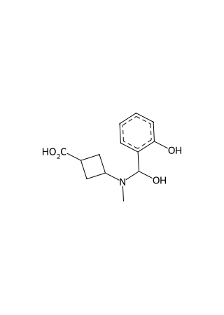 CN(C1CC(C(=O)O)C1)C(O)c1ccccc1O